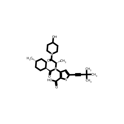 C[C@@H](C(=O)N1CCC(O)CC1)N(c1cc(C#CC(C)(C)C)sc1C(=O)O)C(=O)[C@H]1CC[C@H](C)CC1